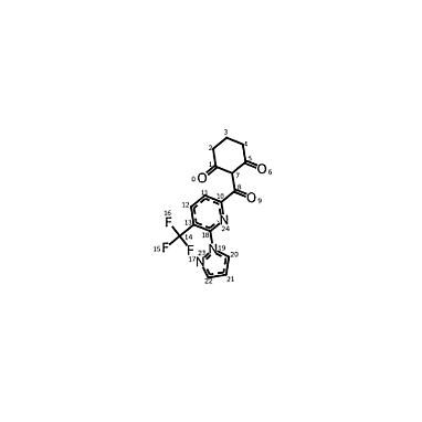 O=C1CCCC(=O)C1C(=O)c1ccc(C(F)(F)F)c(-n2cccn2)n1